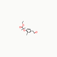 CCOC(=O)C(C)(C)Oc1ccc(CC=O)cc1C